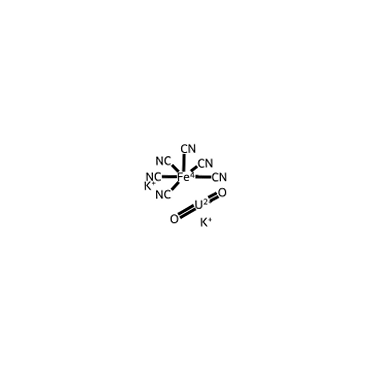 N#[C][Fe-4]([C]#N)([C]#N)([C]#N)([C]#N)[C]#N.[K+].[K+].[O]=[U+2]=[O]